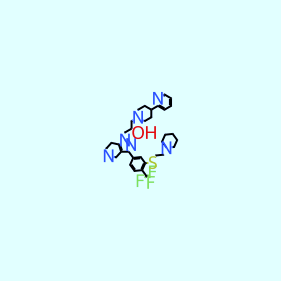 CN1CCc2c(c(-c3ccc(C(F)(F)F)c(SCCN4CCCCC4)c3)nn2CC(O)CN2CCC(c3ccccn3)CC2)C1